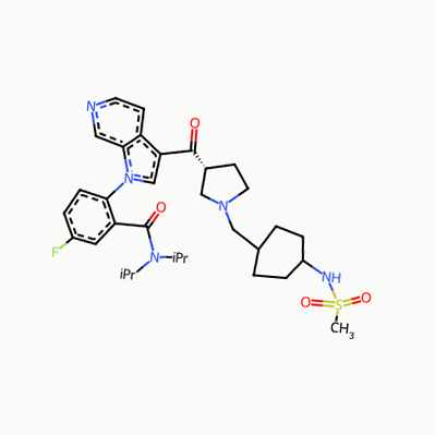 CC(C)N(C(=O)c1cc(F)ccc1-n1cc(C(=O)[C@@H]2CCN(CC3CCC(NS(C)(=O)=O)CC3)C2)c2ccncc21)C(C)C